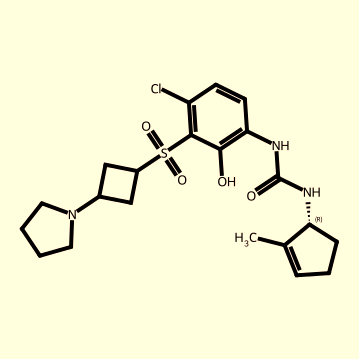 CC1=CCC[C@H]1NC(=O)Nc1ccc(Cl)c(S(=O)(=O)C2CC(N3CCCC3)C2)c1O